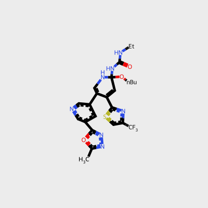 CCCCOC1(NC(=O)NCC)C=C(c2nc(C(F)(F)F)cs2)C(c2cncc(-c3nnc(C)o3)c2)=CN1